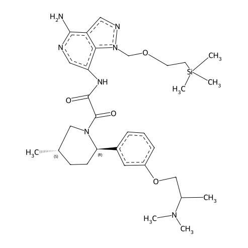 CC(COc1cccc([C@H]2CC[C@H](C)CN2C(=O)C(=O)Nc2cnc(N)c3cnn(COCC[Si](C)(C)C)c23)c1)N(C)C